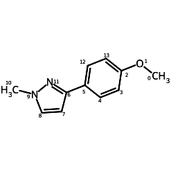 COc1ccc(-c2ccn(C)n2)cc1